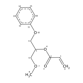 C=CC(=O)OC(COC)COc1ccccc1